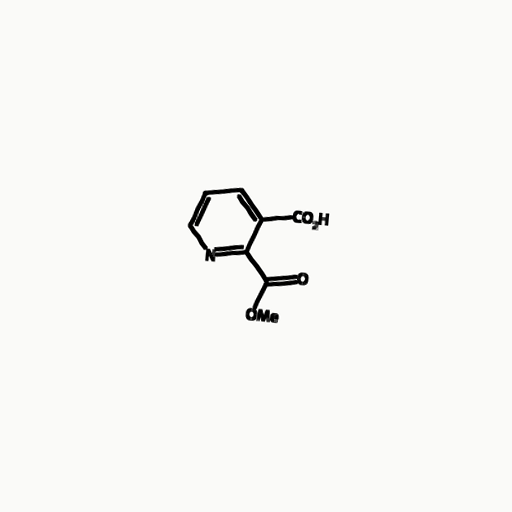 COC(=O)c1ncccc1C(=O)O